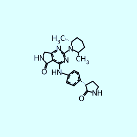 C[C@@H]1CCC[C@@H](C)N1c1nc2c(c(Nc3ccc([C@@H]4CCNC4=O)cc3)n1)C(=O)NC2